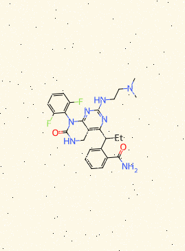 CCC(c1ccccc1C(N)=O)c1nc(NCCN(C)C)nc2c1CNC(=O)N2c1c(F)cccc1F